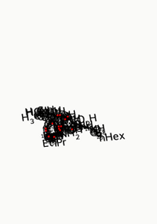 CCCCCCc1ccc(S(=O)(=O)NCCCCCNC(=O)Oc2cc(O)c3c(c2)[C@@H](C(=O)O)NC(=O)[C@H]2NC(=O)[C@H](CC(=O)[C@@H]4NC(=O)[C@H](CC(N)=O)CC(=O)[C@H](NC(=O)[C@H](CC)CC(C)C)[C@H](O)c5ccc(c(Cl)c5)Oc5cc4cc(c5O[C@@H]4O[C@H](CO)[C@@H](O)[C@H](O)[C@H]4O[C@H]4C[C@](C)(N)[C@H](O)[C@H](C)O4)Oc4ccc(cc4Cl)[C@H]2O)c2ccc(O)c-3c2)cc1